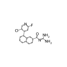 NC(N)=NC(=O)c1ccc2cccc(-c3cc(F)ncc3Cl)c2c1